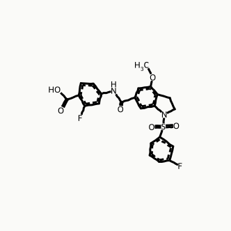 COc1cc(C(=O)Nc2ccc(C(=O)O)c(F)c2)cc2c1CCN2S(=O)(=O)c1cccc(F)c1